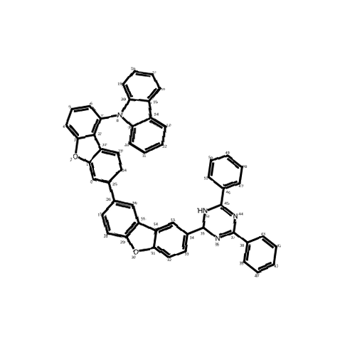 C1=c2oc3cccc(-n4c5ccccc5c5ccccc54)c3c2=CCC1c1ccc2oc3ccc(C4N=C(c5ccccc5)N=C(c5ccccc5)N4)cc3c2c1